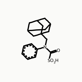 O=C(N(CC12CC3CC(CC(C3)C1)C2)c1ccccc1)S(=O)(=O)O